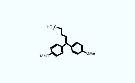 COc1ccc(C(=CCCC(=O)O)c2ccc(OC)cc2)cc1